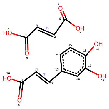 O=C(O)/C=C/C(=O)O.O=C(O)/C=C/c1ccc(O)c(O)c1